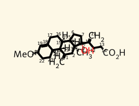 C=C1C[C@@]2(C)[C@@H](CC[C@@]2(O)C(=C)CCC(=O)O)[C@@H]2CCC3=C[C@H](OC)CC[C@@H]3[C@@H]12